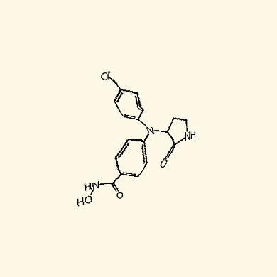 O=C(NO)c1ccc(N(c2ccc(Cl)cc2)C2CCNC2=O)cc1